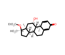 CCOC(=O)O[C@]1(C(=O)O)CC[C@H]2[C@@H]3CCC4=CC(=O)C=C[C@]4(C)[C@H]3[C@@H](O)C[C@@]21C